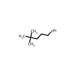 CCC[CH]CCC(C)(C)C